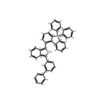 c1ccc(-c2cccc(-c3oc(-c4cccc5c4-c4ccccc4S5(c4ccccc4)c4ccccc4)c4ccccc34)c2)cc1